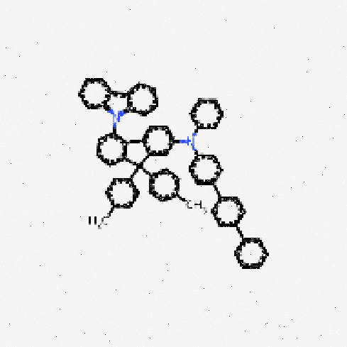 Cc1ccc(C2(c3ccc(C)cc3)c3cc(N(c4ccccc4)c4ccc(-c5ccc(-c6ccccc6)cc5)cc4)ccc3-c3c(-n4c5ccccc5c5ccccc54)cccc32)cc1